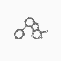 O=c1[nH]cnc2c1sc1cccc(-c3ccccc3)c12